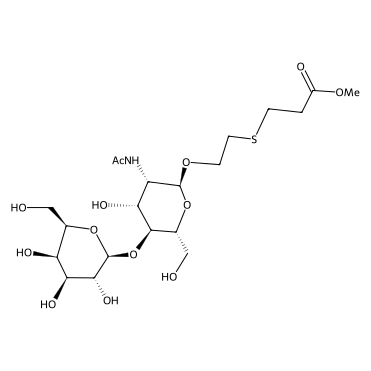 COC(=O)CCSCCO[C@H]1O[C@H](CO)[C@@H](O[C@@H]2O[C@H](CO)[C@H](O)[C@H](O)[C@H]2O)[C@H](O)[C@@H]1NC(C)=O